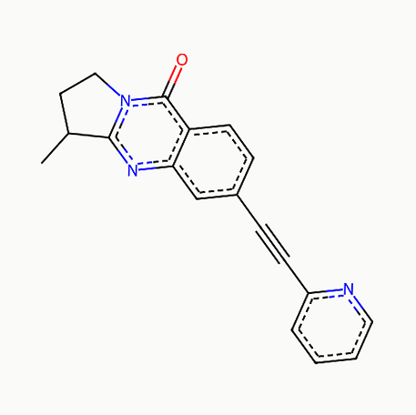 CC1CCn2c1nc1cc(C#Cc3ccccn3)ccc1c2=O